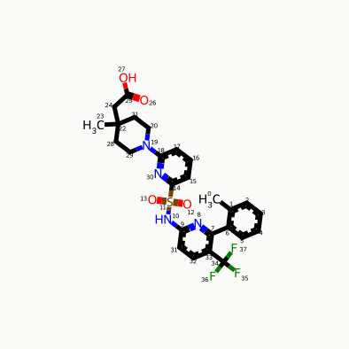 Cc1ccccc1-c1nc(NS(=O)(=O)c2cccc(N3CCC(C)(CC(=O)O)CC3)n2)ccc1C(F)(F)F